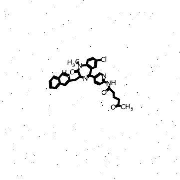 C=C1C(Cc2ccc3ccccc3c2)N=C(c2ccc(NC(=O)CCCC(C)=O)nc2)c2cc(Cl)ccc2N1C